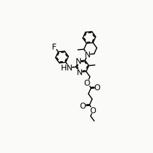 CCOC(=O)CCC(=O)OCc1nc(Nc2ccc(F)cc2)nc(N2CCc3ccccc3C2C)c1C